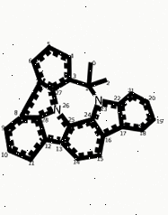 CC1(C)c2cccc3c4cccc5c6ccc7c8ccccc8n1c7c6n(c23)c45